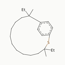 CCC1(C)CCCCCCCCCC(C)(CC)c2ccc(cc2)S1